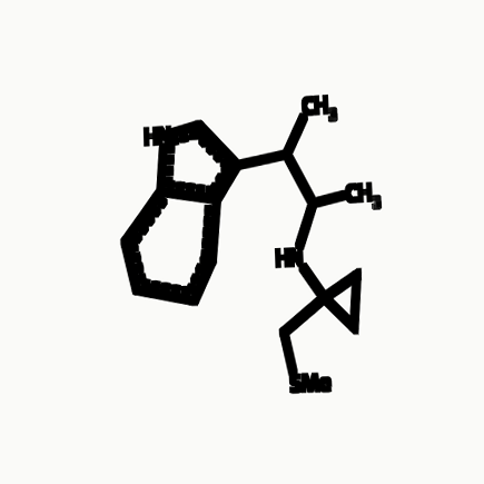 CSCC1(NC(C)C(C)c2c[nH]c3ccccc23)CC1